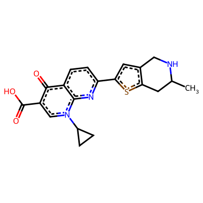 CC1Cc2sc(-c3ccc4c(=O)c(C(=O)O)cn(C5CC5)c4n3)cc2CN1